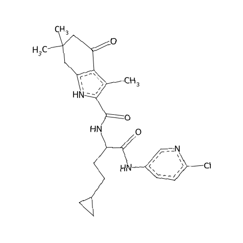 Cc1c(C(=O)NC(CCC2CC2)C(=O)Nc2ccc(Cl)nc2)[nH]c2c1C(=O)CC(C)(C)C2